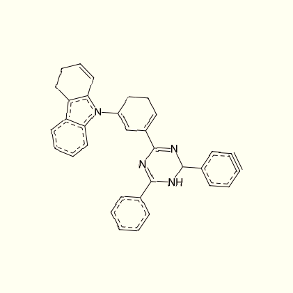 c1ccc(C2N=C(C3=CCCC(n4c5c(c6ccccc64)CCC=C5)=C3)N=C(c3ccccc3)N2)cc#1